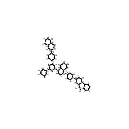 CC1(C)c2ccccc2-c2ccc(-c3ccc(-c4ccc(-c5cc(-c6ccc(-c7ccc8ccccc8c7)cc6)nc(-c6ccccc6)n5)c5ccccc45)cc3)cc21